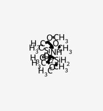 COC(C)C(NC(OC)([SiH2]C)C(C)OC)(OC)[SiH2]C